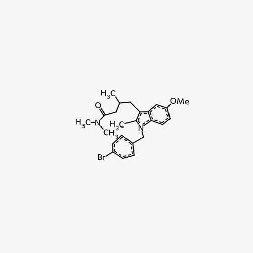 COc1ccc2c(c1)c(CC(C)CC(=O)N(C)C)c(C)n2Cc1ccc(Br)cc1